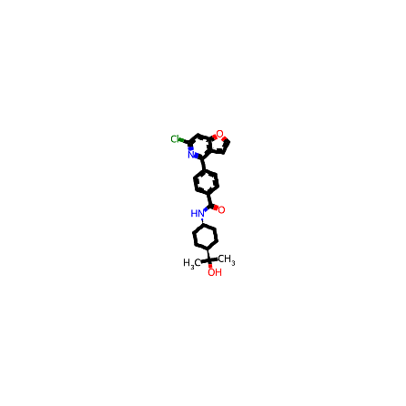 CC(C)(O)[C@H]1CC[C@H](NC(=O)c2ccc(-c3nc(Cl)cc4occc34)cc2)CC1